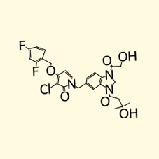 CC(C)(O)CC(=O)N1CN(C(=O)CO)c2ccc(Cn3ccc(OCc4ccc(F)cc4F)c(Cl)c3=O)cc21